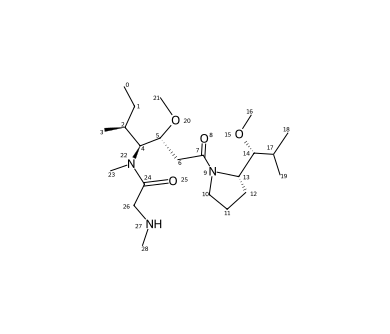 CC[C@H](C)[C@@H]([C@@H](CC(=O)N1CCC[C@H]1[C@H](OC)C(C)C)OC)N(C)C(=O)CNC